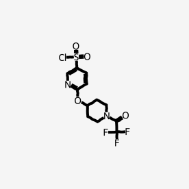 O=C(N1CCC(Oc2ccc(S(=O)(=O)Cl)cn2)CC1)C(F)(F)F